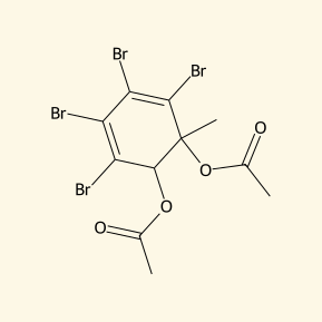 CC(=O)OC1C(Br)=C(Br)C(Br)=C(Br)C1(C)OC(C)=O